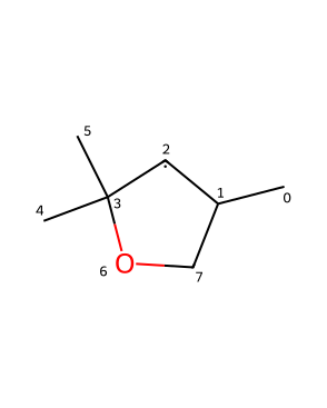 CC1[CH]C(C)(C)OC1